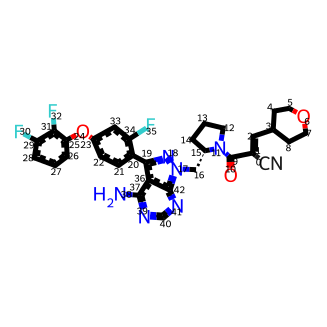 N#C/C(=C\C1CCOCC1)C(=O)N1CCC[C@H]1Cn1nc(-c2ccc(Oc3cccc(F)c3F)cc2F)c2c(N)ncnc21